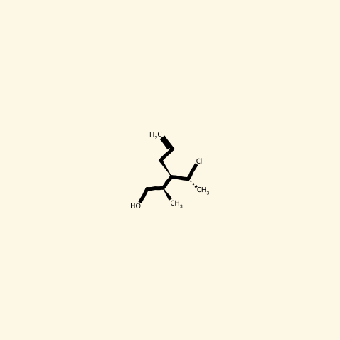 C=CC[C@@H]([C@@H](C)Cl)[C@@H](C)CO